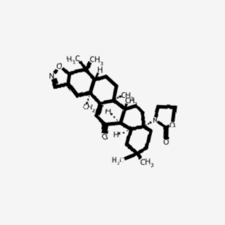 CC1(C)CC[C@]2(N3CCOC3=O)CC[C@]3(C)[C@H](C(=O)C=C4[C@@]5(C)CC6C=NOC6C(C)(C)[C@@H]5CC[C@]43C)[C@@H]2C1